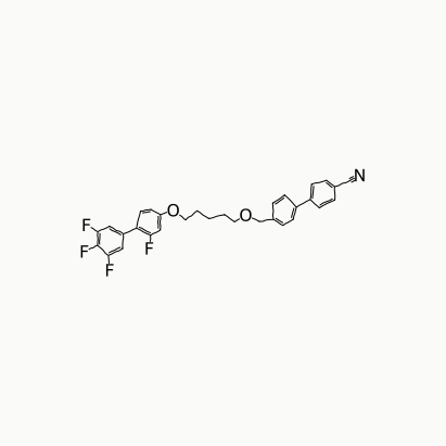 N#Cc1ccc(-c2ccc(COCCCCCOc3ccc(-c4cc(F)c(F)c(F)c4)c(F)c3)cc2)cc1